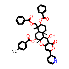 CC1(COC(=O)c2ccccc2)C2C[C@H](OC(=O)c3ccc(C#N)cc3)[C@@]3(C)Oc4cc(-c5cccnc5)oc(=O)c4[C@H](O)C3[C@@]2(C)CC[C@@H]1OC(=O)c1ccccc1